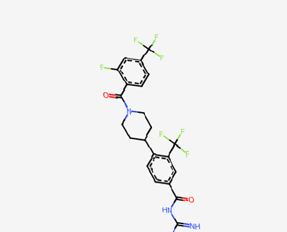 N=C(N)NC(=O)c1ccc(C2CCN(C(=O)c3ccc(C(F)(F)F)cc3F)CC2)c(C(F)(F)F)c1